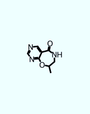 CC1CNC(=O)c2cncnc2O1